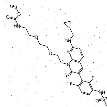 CC(C)(C)OC(=O)NCCOCCOCCn1c(=O)c(-c2c(F)ccc(NS(=O)(=O)N3CCCC3)c2F)cc2cnc(NCC3CC3)nc21